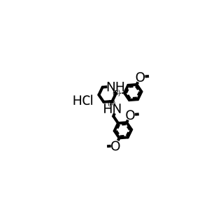 COc1cccc([C@H]2NCCC[C@H]2NCc2cc(OC)ccc2OC)c1.Cl